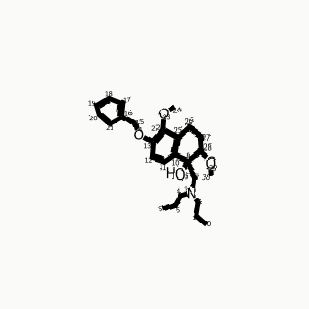 CCCN(CCC)CC1(O)c2ccc(OCc3ccccc3)c(OC)c2CCC1OC